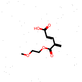 C=C(C=CC(=O)O)C(=O)OCCOC